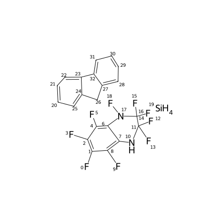 Fc1c(F)c(F)c2c(c1F)NC(F)(F)C(F)(F)N2F.[SiH4].c1ccc2c(c1)Cc1ccccc1-2